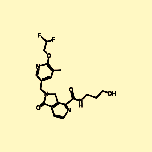 Cc1cc(CN2Cc3c(ccnc3C(=O)NCCCO)C2=O)cnc1OCC(F)F